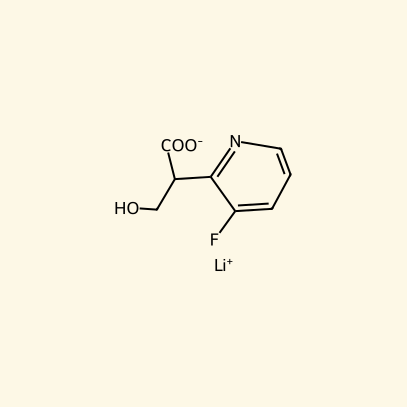 O=C([O-])C(CO)c1ncccc1F.[Li+]